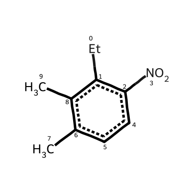 CCc1c([N+](=O)[O-])ccc(C)c1C